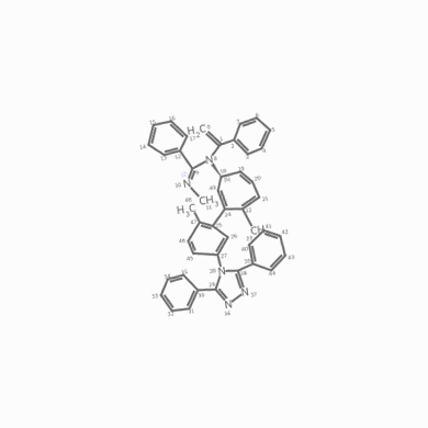 C=C(c1ccccc1)N(/C(=N\C)c1ccccc1)[C@H]1C=CC=C(C)C(c2cc(-n3c(-c4ccccc4)nnc3-c3ccccc3)ccc2C)=C1